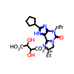 CCCN1C(=O)N2C[C@@H](CC)N=C2c2[nH]c(C3CCCC3)nc21.O=C(O)C(O)C(O)C(=O)O